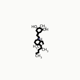 C=C1[C@H](O)CC(=C/C=C2\CCC[C@]3(C)[C@@H]([C@H](C)CCCC)CC[C@@H]23)C[C@H]1O